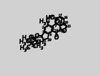 Cc1cc2c(c3c1C1(C)c4c(coc4C3=O)C=C[C@H]1O)CCC2O[Si](C)(C)C(C)(C)C